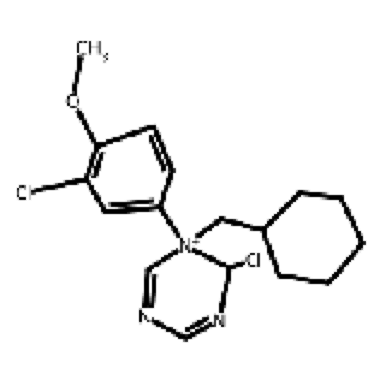 COc1ccc([N+]2(CC3CCCCC3)C=NC=NC2Cl)cc1Cl